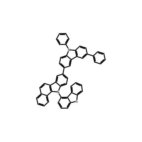 c1ccc(-c2ccc3c(c2)c2cc(-c4ccc5c(c4)c4ccc6ccccc6c4n5-c4cccc5sc6ccccc6c45)ccc2n3-c2ccccc2)cc1